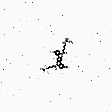 CC(C)(C)c1ccc(NC(=O)CCCCNC(=N)N)c(-c2ccc(-c3cc(C(C)(C)C)ccc3NC(=O)CCCCNC(=N)N)cc2)c1